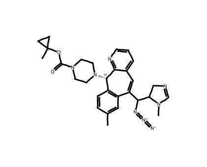 Cc1ccc2c(c1)C(C(N=[N+]=[N-])C1CN=CN1C)=Cc1cccnc1[C@H]2N1CCN(C(=O)OC2(C)CC2)CC1